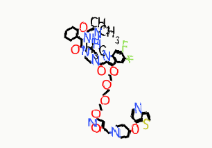 CN[C@@H](C)C(=O)N[C@H](C(=O)N1CCN(C(=O)c2c(OCCOCCOCCOc3cc(CN4CCC(Oc5ccnc6ccsc56)CC4)on3)c3cc(F)c(F)cc3n2C)CC1)C1CCCCC1